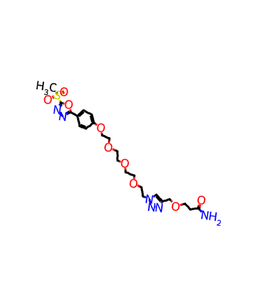 CS(=O)(=O)c1nnc(-c2ccc(OCCOCCOCCOCCn3cc(COCCC(N)=O)nn3)cc2)o1